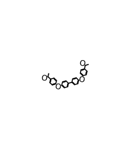 CC(=O)c1ccc(Oc2ccc(-c3ccc(Oc4ccc(C(C)=O)cc4)cc3)cc2)cc1